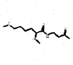 CNCCCCC(NC)C(=O)NCCC(C)=O